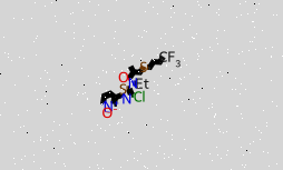 CCN(C(=O)C(C)CSCCCC(F)(F)F)c1sc(-c2ccc[n+]([O-])c2)nc1Cl